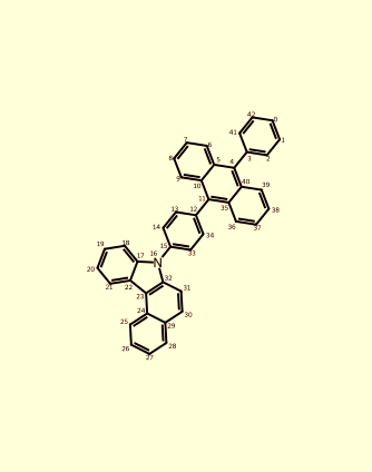 c1ccc(-c2c3ccccc3c(-c3ccc(-n4c5ccccc5c5c6ccccc6ccc54)cc3)c3ccccc23)cc1